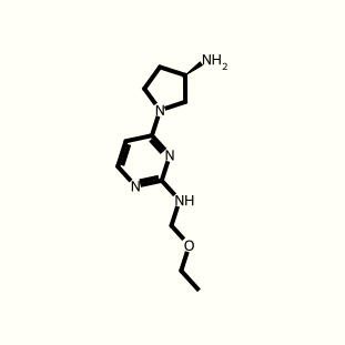 CCOCNc1nccc(N2CC[C@@H](N)C2)n1